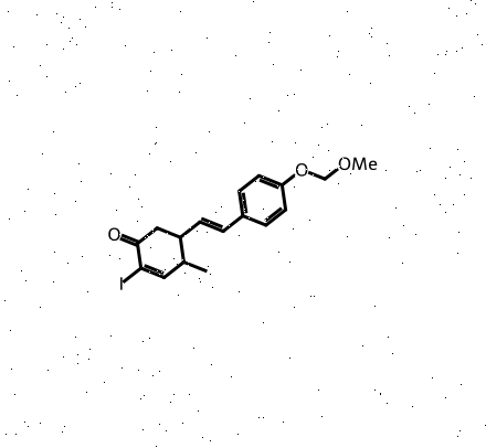 COCOc1ccc(/C=C/C2CC(=O)C(I)=CC2C)cc1